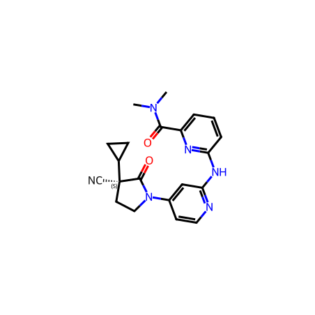 CN(C)C(=O)c1cccc(Nc2cc(N3CC[C@@](C#N)(C4CC4)C3=O)ccn2)n1